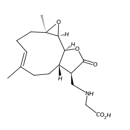 C/C1=C\CC[C@@]2(C)O[C@H]2[C@H]2OC(=O)[C@@H](CNCC(=O)O)[C@@H]2CC1